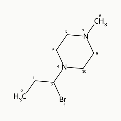 CCC(Br)N1CCN(C)CC1